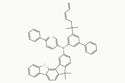 C=C/C=C\CC(C)(C)c1cc(-c2ccccc2)cc(N(C(/C=C\C(=C)c2ccccc2)=C/C)c2ccc3c(c2)-c2c(ccc4c2sc2ccccc24)C3(C)C)c1